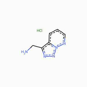 Cl.NCc1nnn2ncccc12